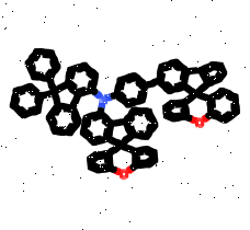 c1ccc(C2(c3ccccc3)c3ccccc3-c3c(N(c4ccc(-c5ccc6c(c5)C5(c7ccccc7Oc7ccccc75)c5ccccc5-6)cc4)c4cccc5c4-c4ccccc4C54c5ccccc5Oc5ccccc54)cccc32)cc1